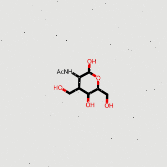 CC(=O)NC1C(O)OC(CO)C(O)C1CO